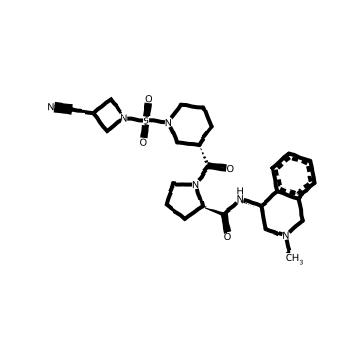 CN1Cc2ccccc2C(NC(=O)[C@H]2CCCN2C(=O)[C@H]2CCCN(S(=O)(=O)N3CC(C#N)C3)C2)C1